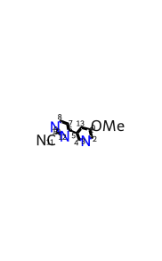 COc1cncc(-c2ccnc(C#N)n2)c1